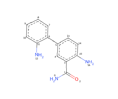 NC(=O)c1cc(-c2ccccc2N)ccc1N